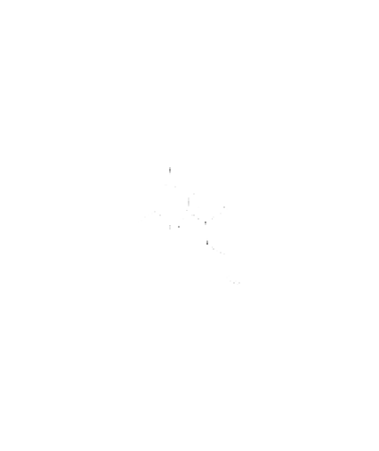 C=CCCC(O)N(OCC)OCC